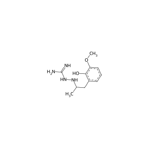 COc1cccc(CC(C)NNC(=N)N)c1O